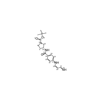 CC(C)(C)OC(=O)N1CC[C@@H](NC(=O)c2ccc(N/C=C\C=N)cc2)C1